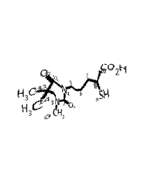 CN1C(=O)N(CCC[C@H](S)C(=O)O)C(=O)C1(C)C